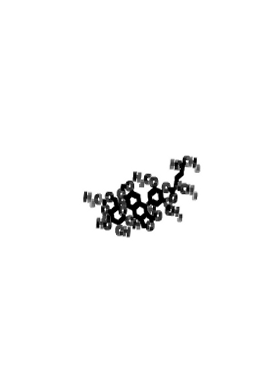 CNCCN(C)C(=O)Oc1c(OC)cc([C@@H]2c3cc4c(cc3[C@@H](O[C@@H]3O[C@@H]5CO[C@@H](C)O[C@H]5[C@H](O)[C@H]3O)[C@H]3COC(=O)[C@H]23)OCO4)cc1OC